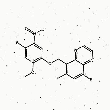 COc1cc(F)c([N+](=O)[O-])cc1OCc1c(F)cc(F)c2nccnc12